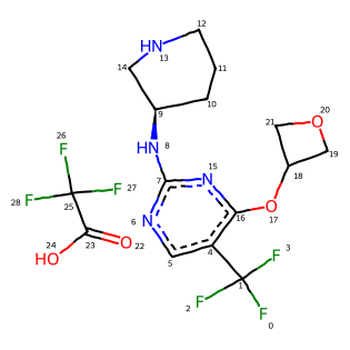 FC(F)(F)c1cnc(N[C@@H]2CCCNC2)nc1OC1COC1.O=C(O)C(F)(F)F